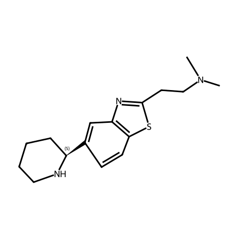 CN(C)CCc1nc2cc([C@@H]3CCCCN3)ccc2s1